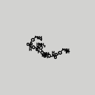 CC(C)NC1CC1c1ccc(COC(=O)NCc2ccc(C(=O)Nc3cc(-c4ccc(N)c(NC(=O)c5ccc(NC(=O)OCc6ccc(C7CC7NCC7CC7)cc6)cc5)c4)c(F)cc3N)cc2)cc1